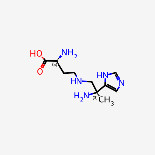 C[C@](N)(CNCC[C@H](N)C(=O)O)c1cnc[nH]1